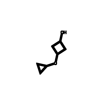 OC1CC(OC2CC2)C1